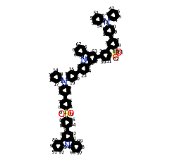 O=S(=O)(c1ccc(-c2ccc(N(c3ccccc3)c3ccc(-c4ccc5c6cc(-c7ccc8c(c7)-c7cc(-c9ccc(N(c%10ccccc%10)c%10ccccc%10)cc9)ccc7S8(=O)=O)cc7c8ccccc8n(c5c4)c76)cc3)cc2)cc1)c1ccc(-c2cc3c4ccccc4n4c5ccccc5c(c2)c34)cc1